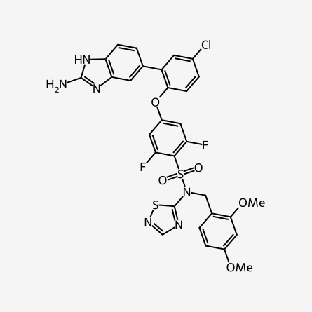 COc1ccc(CN(c2ncns2)S(=O)(=O)c2c(F)cc(Oc3ccc(Cl)cc3-c3ccc4[nH]c(N)nc4c3)cc2F)c(OC)c1